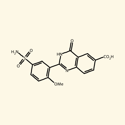 COc1ccc(S(N)(=O)=O)cc1-c1nc2ccc(C(=O)O)cc2c(=O)[nH]1